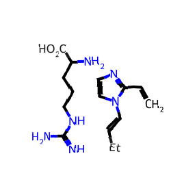 C=Cc1nccn1C=CCC.N=C(N)NCCCC(N)C(=O)O